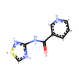 O=C(Nc1ncsn1)c1cccnc1